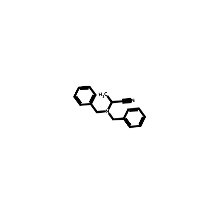 CC(C#N)N(Cc1ccccc1)Cc1ccccc1